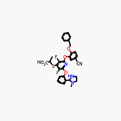 CC(Sc1c(F)c(Oc2cc(C#N)ccc2OCc2ccccc2)nc(Oc2ccccc2C2NCCN2C)c1F)C(=O)O